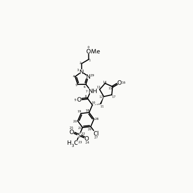 COCCn1ccc(NC(=O)[C@H](C[C@H]2CCC(=O)C2)c2ccc(S(C)(=O)=O)c(Cl)c2)n1